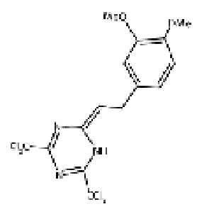 COc1ccc(CC=C2N=C(C(Cl)(Cl)Cl)N=C(C(Cl)(Cl)Cl)N2)cc1OC